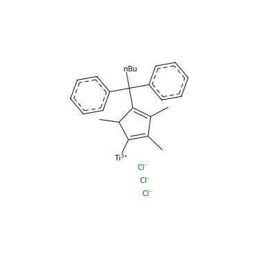 CCCCC(C1=C(C)C(C)=[C]([Ti+3])C1C)(c1ccccc1)c1ccccc1.[Cl-].[Cl-].[Cl-]